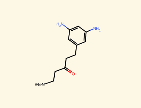 CNCCC(=O)CCc1cc(N)cc(N)c1